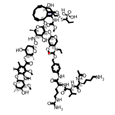 CCC(SSC/C=C1\C2=C(NC(=O)OC)C(=O)C[C@@]1(O)C#CC=CC#C[C@@H]2O[C@@H]1O[C@H](C)[C@@H](NO[C@H]2C[C@H](O)[C@H](SC(=O)c3c(C)c(I)c(O[C@@H]4O[C@@H](C)[C@H](O)[C@@H](OC)[C@H]4O)c(OC)c3OC)[C@@H](C)O2)[C@H](O)[C@H]1O[C@H]1C[C@H](OC)[C@@H](N(CC)C(=O)OCc2ccc(NC(=O)[C@H](CCCNC(N)=O)NC(=O)[C@@H](NC(=O)[C@H](CCCCN)NC(C)=O)C(C)C)cc2)CO1)P(=O)(O)O